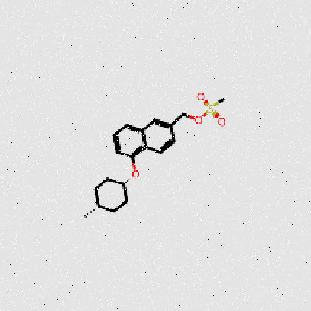 CS(=O)(=O)OCc1ccc2c(O[C@H]3CC[C@@H](C)CC3)cccc2c1